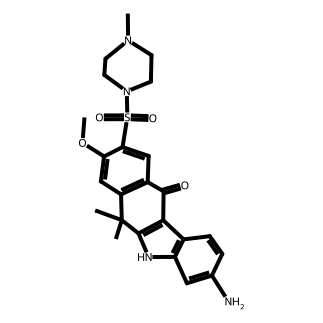 COc1cc2c(cc1S(=O)(=O)N1CCN(C)CC1)C(=O)c1c([nH]c3cc(N)ccc13)C2(C)C